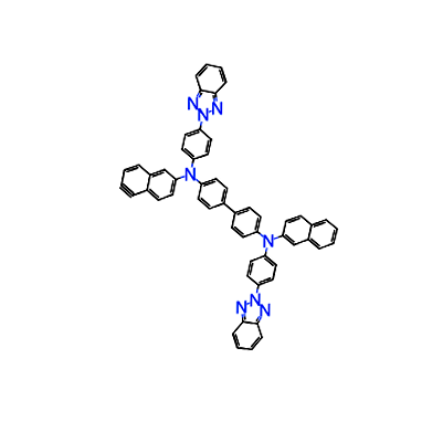 c1ccc2cc(N(c3ccc(-c4ccc(N(c5ccc(-n6nc7ccccc7n6)cc5)c5ccc6ccccc6c5)cc4)cc3)c3ccc(-n4nc5ccccc5n4)cc3)ccc2c#1